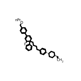 C=C[C@H]1CC[C@H](c2ccc(CCCCC3(c4ccccc4)C=CC(c4ccc(COCCC)cc4)=CC3F)cc2)CC1